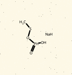 CSO[PH](=O)O.[NaH]